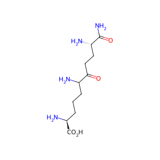 NC(=O)[C@@H](N)CCC(=O)C(N)CCC[C@H](N)C(=O)O